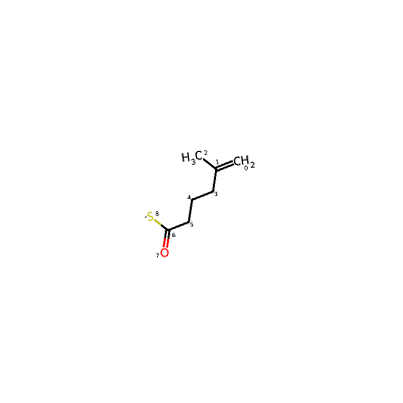 C=C(C)CCCC(=O)[S]